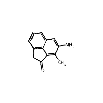 Cc1c(N)cc2cccc3c2c1C(=O)C3